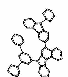 c1ccc(-c2cc(-c3ccccc3)nc(-n3c4ccccc4c4c5ccccc5c(-c5ccc6c(c5)c5ccccc5n6-c5ccccc5)cc43)c2)cc1